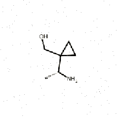 C[C@@H](N)C1(CO)CC1